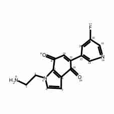 NCCn1ccc2c1C(=O)C=C(c1cncc(F)c1)C2=O